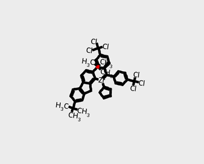 CC(C)(C)c1ccc2c(c1)Cc1c-2ccc(C(C)(C)C)[c]1[Zr]([C]1=CC=CC1)=[C](c1ccc(C(Cl)(Cl)Cl)cc1)c1ccc(C(Cl)(Cl)Cl)cc1